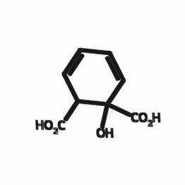 O=C(O)C1C=CC=CC1(O)C(=O)O